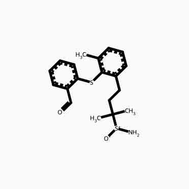 Cc1cccc(CCC(C)(C)[S+](N)[O-])c1Sc1ccccc1C=O